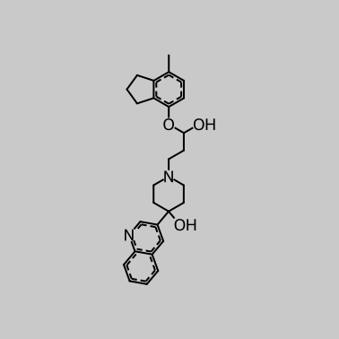 Cc1ccc(OC(O)CCN2CCC(O)(c3cnc4ccccc4c3)CC2)c2c1CCC2